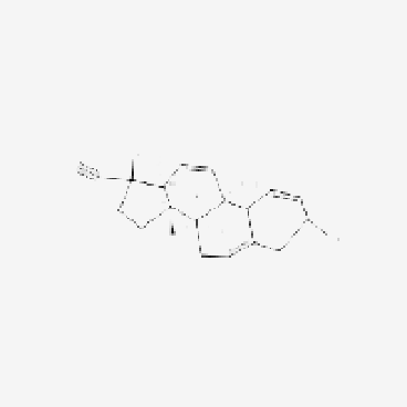 C#CC1(O)CC[C@H]2[C@@H]3CC=C4CC(O)C=C[C@]4(C)[C@@H]3C=C[C@@]21C